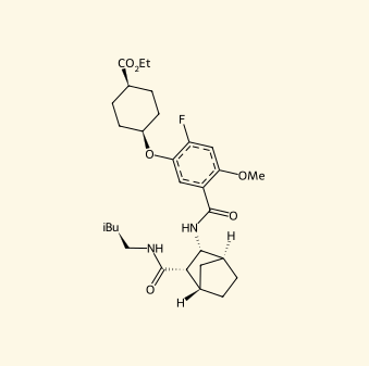 CCOC(=O)[C@H]1CC[C@@H](Oc2cc(C(=O)N[C@@H]3[C@H]4CC[C@@H](C4)[C@@H]3C(=O)NC[C@H](C)CC)c(OC)cc2F)CC1